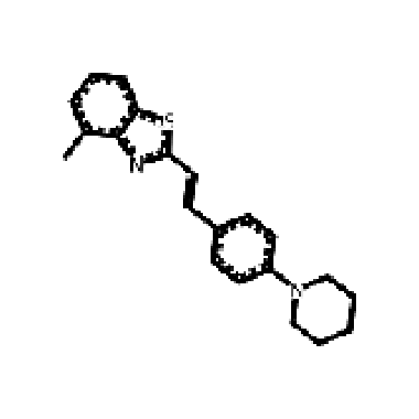 Cc1cccc2sc(C=Cc3ccc(N4CCCCC4)cc3)nc12